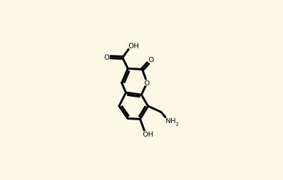 NCc1c(O)ccc2cc(C(=O)O)c(=O)oc12